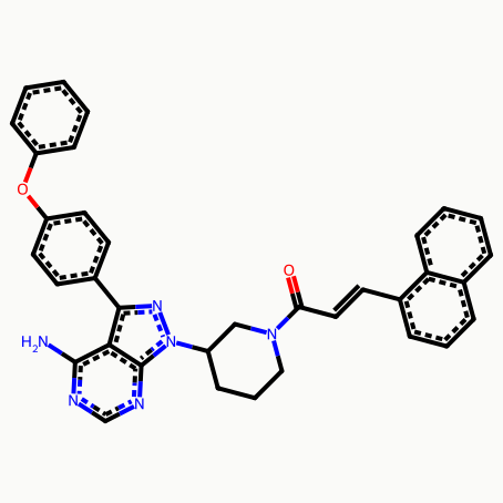 Nc1ncnc2c1c(-c1ccc(Oc3ccccc3)cc1)nn2C1CCCN(C(=O)C=Cc2cccc3ccccc23)C1